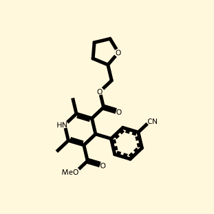 COC(=O)C1=C(C)NC(C)=C(C(=O)OCC2CCCO2)C1c1cccc(C#N)c1